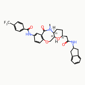 CN1C(=O)c2cc(NC(=O)c3ccc(C(F)(F)F)cc3)ccc2OC[C@@H]2O[C@H](CC(=O)NC3Cc4ccccc4C3)CC[C@@H]21